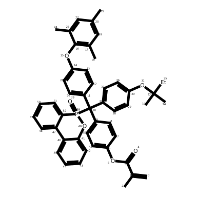 C=C(C)C(=O)Oc1ccc(C(c2ccc(Oc3c(C)cc(C)cc3C)cc2)(c2ccc(OC(C)(C)CC)cc2)P2(=O)Oc3ccccc3-c3ccccc32)cc1